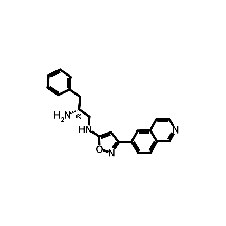 N[C@@H](CNc1cc(-c2ccc3cnccc3c2)no1)Cc1ccccc1